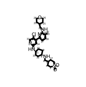 O=S1(=O)CCC(CN[C@H]2CC[C@H](Nc3cc(-c4ccc(F)c(NCC5CCOCC5)n4)c(Cl)cn3)CC2)CC1